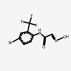 O=C(/C=N/O)Nc1ccc(Br)cc1C(F)(F)F